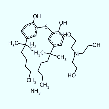 CCCCCC(C)(C)c1ccc(O)c(Sc2cc(C(C)(C)CCCCC)ccc2O)c1.N.OC[CH2][Ni]([CH2]CO)[CH2]CO